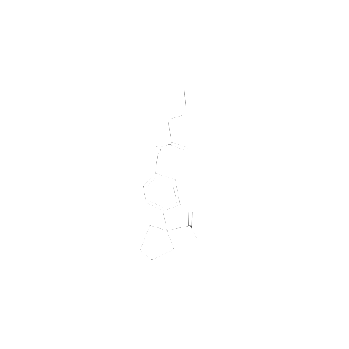 COCC(=O)Nc1ccc(C2(C(=O)O)CCCC2)cc1